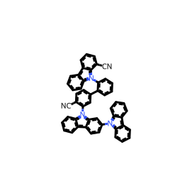 N#Cc1ccc(-c2ccccc2-n2c3ccccc3c3cccc(C#N)c32)cc1-n1c2ccccc2c2ccc(-n3c4ccccc4c4ccccc43)cc21